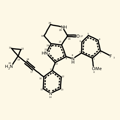 COc1c(F)cccc1Nc1c(-c2ccncc2C#CC2(N)CC2)[nH]c2c1C(=O)NCC2